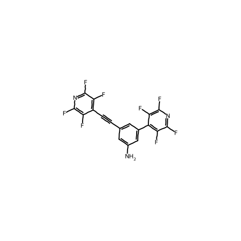 Nc1cc(C#Cc2c(F)c(F)nc(F)c2F)cc(-c2c(F)c(F)nc(F)c2F)c1